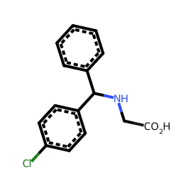 O=C(O)CNC(c1ccccc1)c1ccc(Cl)cc1